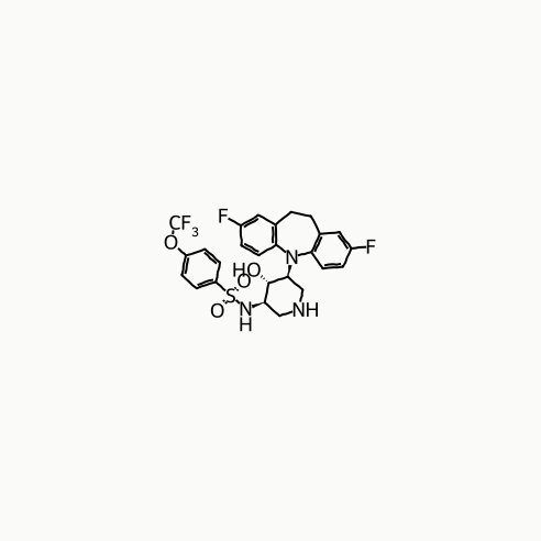 O=S(=O)(N[C@@H]1CNC[C@H](N2c3ccc(F)cc3CCc3cc(F)ccc32)[C@H]1O)c1ccc(OC(F)(F)F)cc1